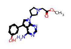 COC(=O)CN1CCC(n2cc(-c3cccc(O)c3)c3c(N)ncnc32)C1